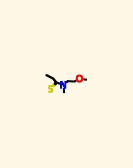 CCC(=S)N(C)CCOC